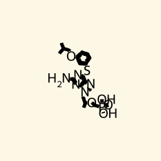 CC(C)COc1cccc(Sc2nc(N)nc3c2ncn3CC(C)OCP(=O)(O)O)c1